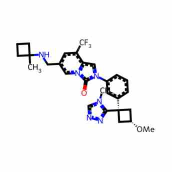 CO[C@H]1C[C@](c2cccc(-n3cc4c(C(F)(F)F)cc(CNC5(C)CCC5)cn4c3=O)c2)(c2nncn2C)C1